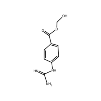 N=C(N)Nc1ccc(C(=O)OCO)cc1